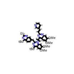 CCc1nc(C(C)(C)C)c2ccc(Cc3nc(C(C)(C)C)c4cc(OC)c(OC)cc4[n+]3C(C)(C)c3nc(/C=C/c4cccnc4)nc4cc(OC)c(OC)cc34)cc2n1